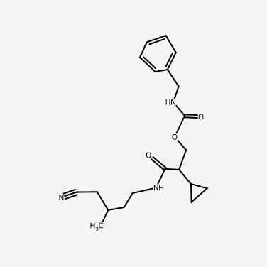 CC(CC#N)CCNC(=O)C(COC(=O)NCc1ccccc1)C1CC1